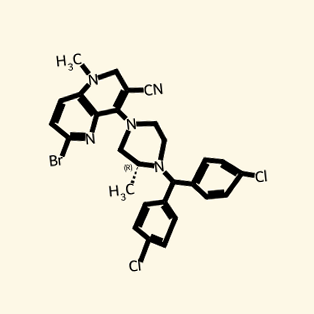 C[C@@H]1CN(C2=C(C#N)CN(C)c3ccc(Br)nc32)CCN1C(c1ccc(Cl)cc1)c1ccc(Cl)cc1